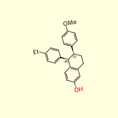 CCc1ccc([C@@H]2c3ccc(O)cc3CC[C@@H]2c2ccc(OC)cc2)cc1